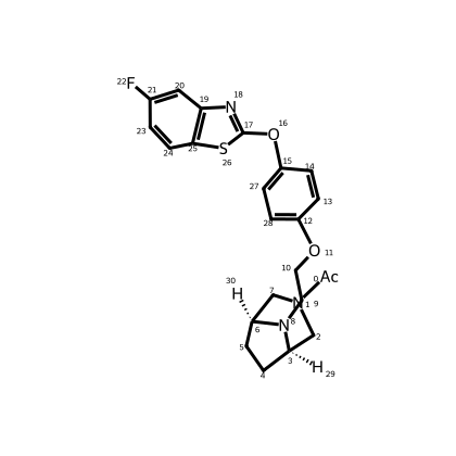 CC(=O)N1C[C@H]2CC[C@@H](C1)N2CCOc1ccc(Oc2nc3cc(F)ccc3s2)cc1